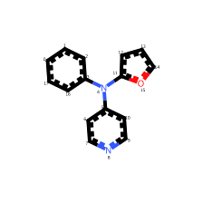 c1ccc(N(c2ccncc2)c2ccco2)cc1